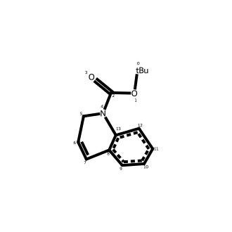 CC(C)(C)OC(=O)N1CC=Cc2ccccc21